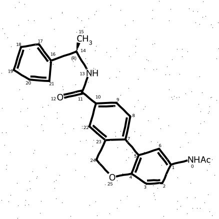 CC(=O)Nc1ccc2c(c1)-c1ccc(C(=O)N[C@H](C)c3ccccc3)cc1CO2